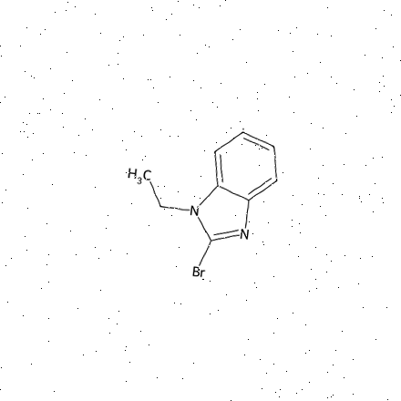 CCn1c(Br)nc2cc[c]cc21